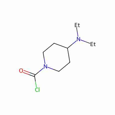 CCN(CC)C1CCN(C(=O)Cl)CC1